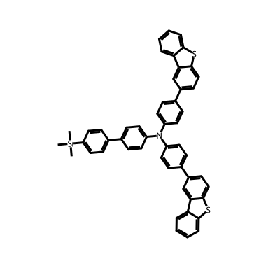 C[Si](C)(C)c1ccc(-c2ccc(N(c3ccc(-c4ccc5sc6ccccc6c5c4)cc3)c3ccc(-c4ccc5sc6ccccc6c5c4)cc3)cc2)cc1